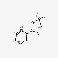 CC(OC(C)(F)F)c1ccccn1